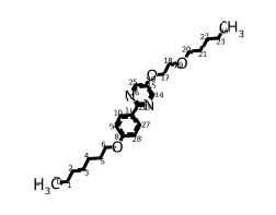 CCCCCCCOc1ccc(-c2ncc(OCCOCCCCC)cn2)cc1